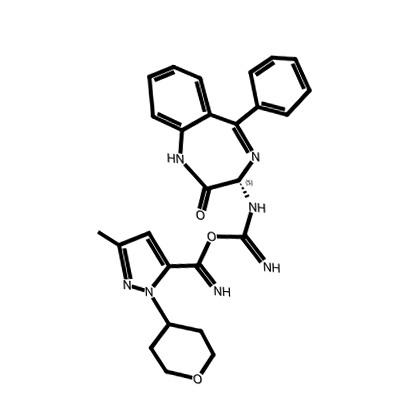 Cc1cc(C(=N)OC(=N)N[C@H]2N=C(c3ccccc3)c3ccccc3NC2=O)n(C2CCOCC2)n1